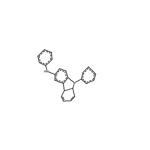 C1=CC2c3cc(Nc4ccccc4)ccc3N(c3ccccc3)C2C=C1